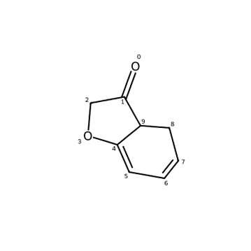 O=C1COC2=CC=CCC12